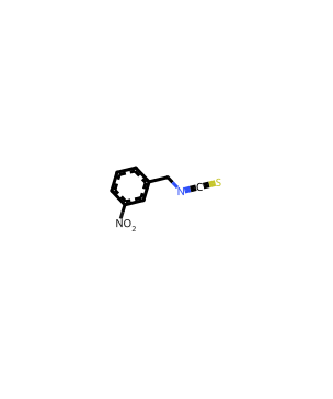 O=[N+]([O-])c1cccc(CN=C=S)c1